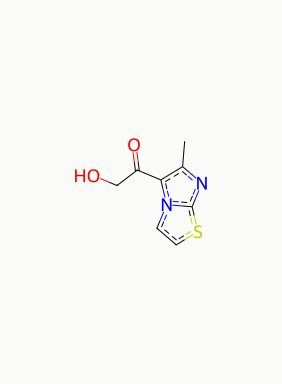 Cc1nc2sccn2c1C(=O)CO